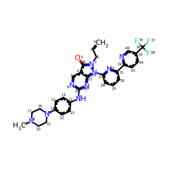 C=CCn1c(=O)c2cnc(Nc3ccc(N4CCN(C)CC4)cc3)nc2n1-c1cccc(-c2ccc(C(F)(F)F)cn2)n1